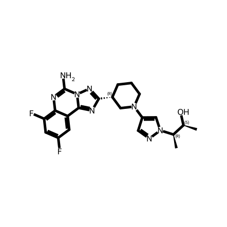 C[C@H](O)[C@@H](C)n1cc(N2CCC[C@@H](c3nc4c5cc(F)cc(F)c5nc(N)n4n3)C2)cn1